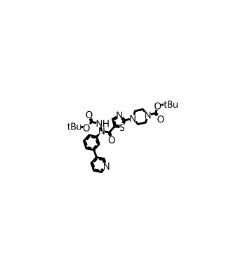 CC(C)(C)OC(=O)NN(C(=O)c1cnc(N2CCN(C(=O)OC(C)(C)C)CC2)s1)c1cccc(-c2cccnc2)c1